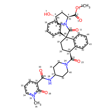 COC(=O)[C@@H]1C[C@@H](O)CN1C(=O)[C@@]1(c2ccccc2)CC[C@H](C(=O)N2CCC(NC(=O)c3cccn(C)c3=O)CC2)c2ccccc21